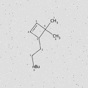 CCCCCCC1C=CC1(C)C